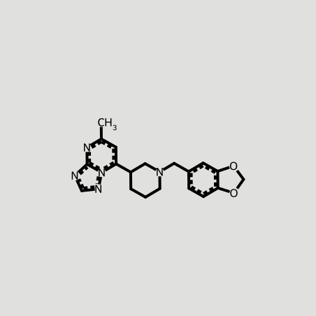 Cc1cc(C2CCCN(Cc3ccc4c(c3)OCO4)C2)n2ncnc2n1